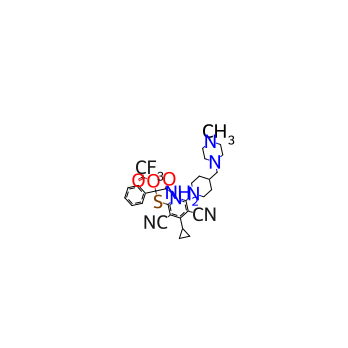 CN1CCN(CC2CCN(c3nc(SC(OC(=O)C(F)(F)F)(C(N)=O)c4ccccc4)c(C#N)c(C4CC4)c3C#N)CC2)CC1